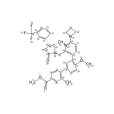 COC(=O)c1ccc(-c2ccc(OC)c(-c3ccc(N4CCC4)nc3CN3C(=O)O[C@H](c4cccc(C(F)(F)F)c4)[C@@H]3C)c2)c(C)c1